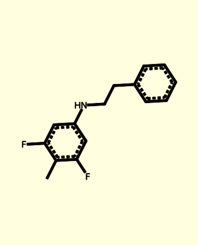 Cc1c(F)cc(NCCc2ccccc2)cc1F